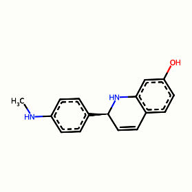 CNc1ccc([C@@H]2C=Cc3ccc(O)cc3N2)cc1